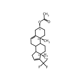 CC(=O)O[C@H]1CC[C@@]2(C)C(=CCC3C2CC[C@]2(C)C(C(F)(F)F)=CCC32)C1